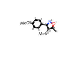 COc1ccc(-c2noc(C)c2SC)cc1